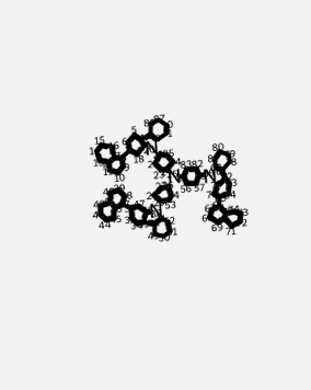 C1=Cc2c(c3ccc(-c4cccc5ccccc45)cc3n2-c2ccc(N(c3ccc(-n4c5c(c6ccc(-c7cccc8ccccc78)cc64)CCC=C5)cc3)c3ccc(-n4c5c(c6ccc(-c7cccc8ccccc78)cc64)CCC=C5)cc3)cc2)CC1